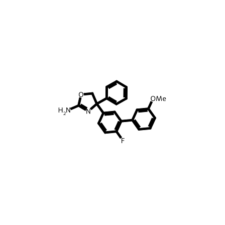 COc1cccc(-c2cc(C3(c4ccccc4)COC(N)=N3)ccc2F)c1